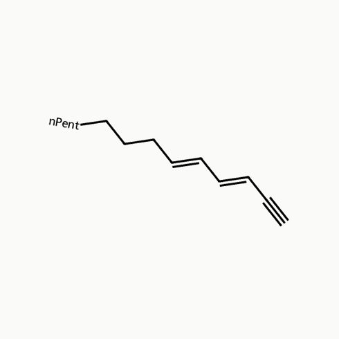 C#CC=CC=CCCCCCCCC